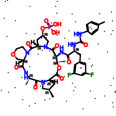 Cc1ccc(NC(=O)N[C@@H](Cc2cc(F)cc(F)c2)C(=O)N[C@@H]2C(=O)N3C[C@H](OP(=O)(O)O)C[C@H]3C(=O)N3CCOC[C@H]3C(=O)N[C@@H](C)C(=O)N3C[C@H](C)C[C@H]3C(=O)O[C@H]2C)cc1